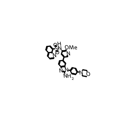 COc1ncc(-c2ccc3nc(N)n(-c4ccc(N5CCOCC5)cc4)c3c2)cc1NS(=O)(=O)c1cccc2cccnc12